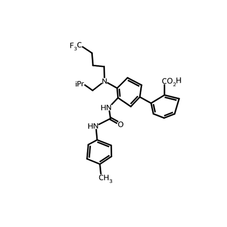 Cc1ccc(NC(=O)Nc2cc(-c3ccccc3C(=O)O)ccc2N(CCCC(F)(F)F)CC(C)C)cc1